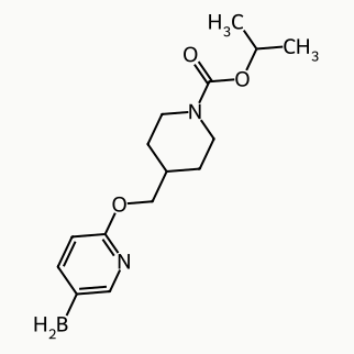 Bc1ccc(OCC2CCN(C(=O)OC(C)C)CC2)nc1